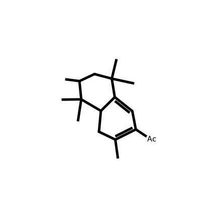 CC(=O)C1=C(C)CC2C(=C1)C(C)(C)CC(C)C2(C)C